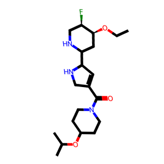 CCO[C@H]1CC(C2C=C(C(=O)N3CCC(OC(C)C)CC3)CN2)NC[C@H]1F